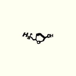 CCC1CCC(O)CO1